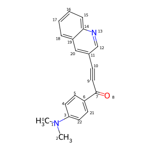 CN(C)c1ccc(C(=O)C#Cc2cnc3ccccc3c2)cc1